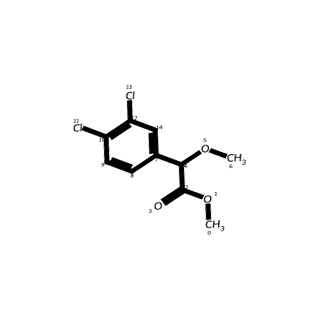 COC(=O)C(OC)c1ccc(Cl)c(Cl)c1